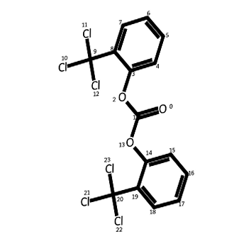 O=C(Oc1ccccc1C(Cl)(Cl)Cl)Oc1ccccc1C(Cl)(Cl)Cl